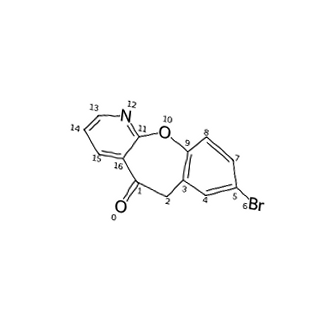 O=C1Cc2cc(Br)ccc2Oc2ncccc21